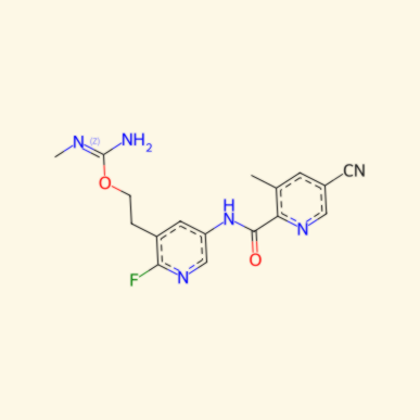 C/N=C(/N)OCCc1cc(NC(=O)c2ncc(C#N)cc2C)cnc1F